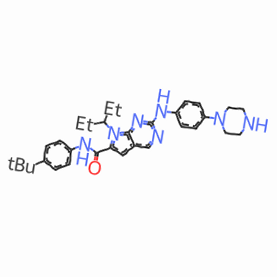 CCC(CC)n1c(C(=O)Nc2ccc(C(C)(C)C)cc2)cc2cnc(Nc3ccc(N4CCNCC4)cc3)nc21